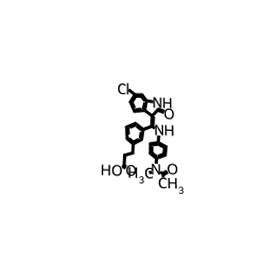 CC(=O)N(C)c1ccc(N/C(=C2\C(=O)Nc3cc(Cl)ccc32)c2cccc(CCC(=O)O)c2)cc1